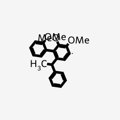 COc1[c]cc(C(C)c2ccccc2)c(-c2ccccc2OC)c1OC